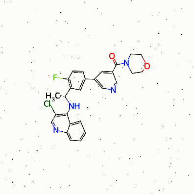 C[C@@H](Nc1c(Cl)cnc2ccccc12)c1cc(-c2cncc(C(=O)N3CCOCC3)c2)ccc1F